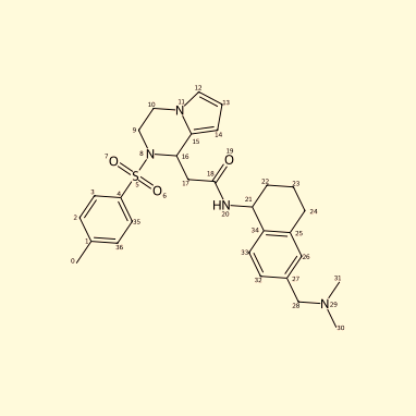 Cc1ccc(S(=O)(=O)N2CCn3cccc3C2CC(=O)NC2CCCc3cc(CN(C)C)ccc32)cc1